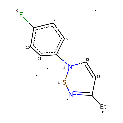 CCC1=NSN(c2ccc(F)cc2)C=C1